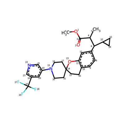 COC(=O)C(C)C(c1ccc2c(c1)OC1(CC2)CCN(c2cncc(C(F)(F)F)c2)CC1)C1CC1